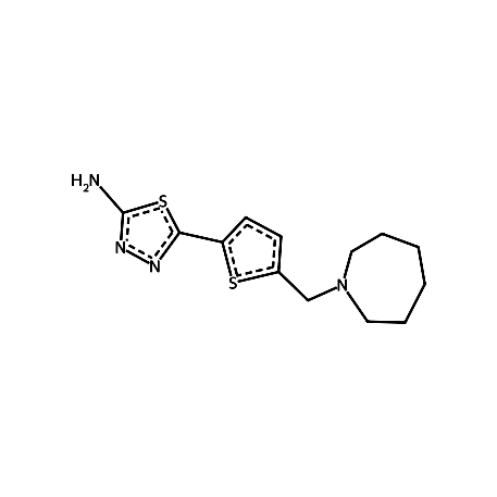 Nc1nnc(-c2ccc(CN3CCCCCC3)s2)s1